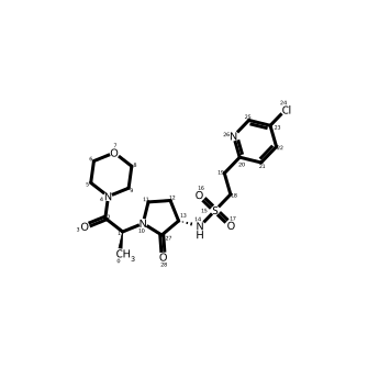 C[C@@H](C(=O)N1CCOCC1)N1CC[C@H](NS(=O)(=O)CCc2ccc(Cl)cn2)C1=O